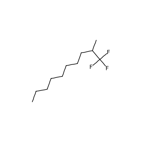 CCCCCCCCC(C)C(F)(F)F